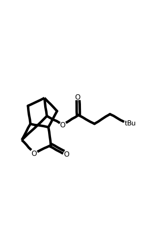 CC(C)(C)CCC(=O)OC1C2CC3C(=O)OC1C3C2